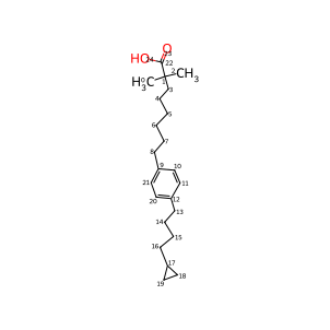 CC(C)(CCCCCCc1ccc(CCCCC2CC2)cc1)C(=O)O